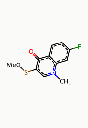 COSc1cn(C)c2cc(F)ccc2c1=O